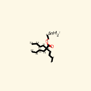 C=COC(=O)C(CCCC)(CCCC)CCCC.[SnH2]